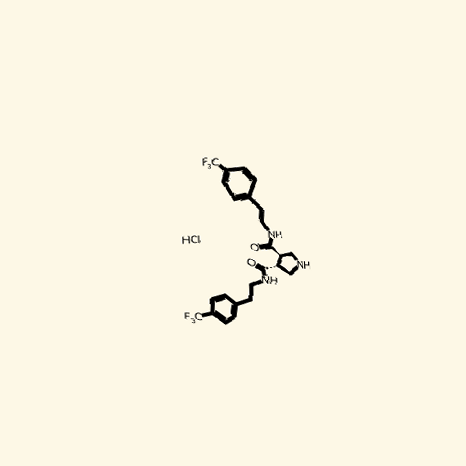 Cl.O=C(NCCc1ccc(C(F)(F)F)cc1)[C@H]1CNC[C@@H]1C(=O)NCCc1ccc(C(F)(F)F)cc1